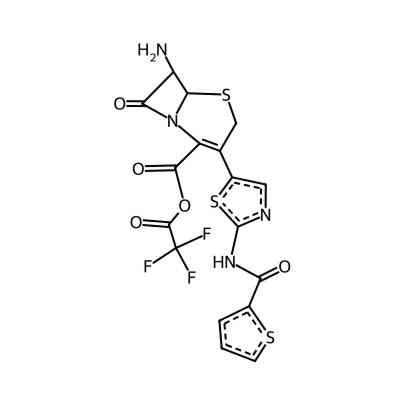 NC1C(=O)N2C(C(=O)OC(=O)C(F)(F)F)=C(c3cnc(NC(=O)c4cccs4)s3)CSC12